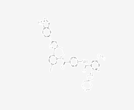 Cc1cnc(N2CC3(CCOCC3)C2)c(C(=O)Nc2ccc(C(=O)N3CCc4cc(-c5ccc6[nH]ncc6c5)sc4-c4ccc(F)cc43)cc2)c1